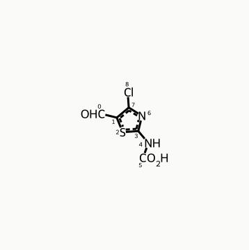 O=Cc1sc(NC(=O)O)nc1Cl